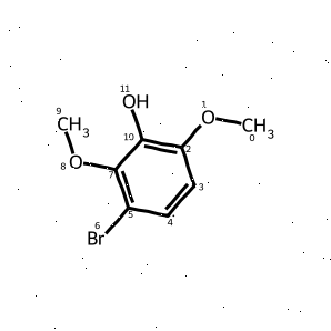 COc1c[c]c(Br)c(OC)c1O